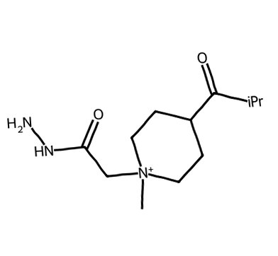 CC(C)C(=O)C1CC[N+](C)(CC(=O)NN)CC1